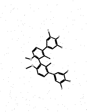 COc1ccc(-c2cc(F)c(F)c(F)c2)c(C)c1-c1c(OC)ccc(-c2cc(F)c(F)c(F)c2)c1C